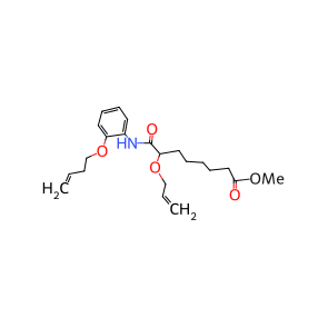 C=CCCOc1ccccc1NC(=O)C(CCCCCC(=O)OC)OCC=C